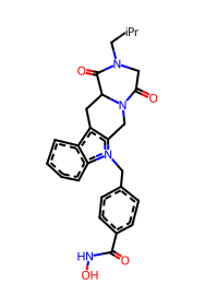 CC(C)CN1CC(=O)N2Cc3c(c4ccccc4n3Cc3ccc(C(=O)NO)cc3)CC2C1=O